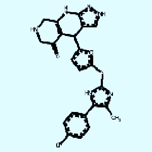 Cc1nc(Sc2ccc(C3C4=C(CNCC4=O)Nc4n[nH]cc43)o2)[nH]c1-c1ccc(Cl)cc1